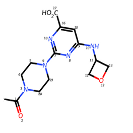 CCC(=O)N1CCN(c2nc(NC3COC3)cc(C(=O)O)n2)CC1